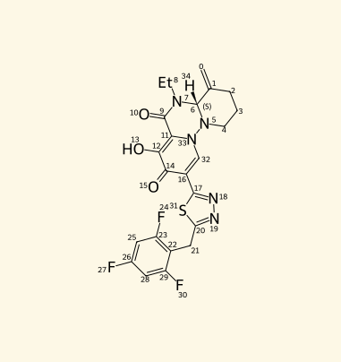 C=C1CCCN2[C@@H]1N(CC)C(=O)c1c(O)c(=O)c(-c3nnc(Cc4c(F)cc(F)cc4F)s3)cn12